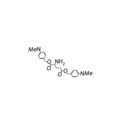 CNc1ccc(COC(=O)CC[C@H](N)C(=O)OCc2ccc(NC)cc2)cc1